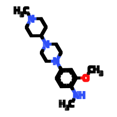 CNc1ccc(N2CCN(C3CCN(C)CC3)CC2)cc1OC